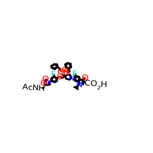 CC(=O)NC[C@H]1CN(c2ccc(OCC3(CP(=O)(OCc4ccccc4)OCc4ccccc4)CCN(c4cc5c(cc4F)c(=O)c(C(=O)O)cn5C4CC4)CC3)c(F)c2)C(=O)O1